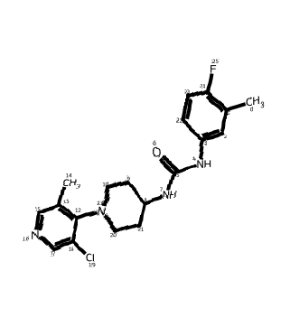 Cc1cc(NC(=O)NC2CCN(c3c(C)cncc3Cl)CC2)ccc1F